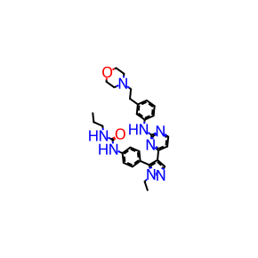 CCCNC(=O)Nc1ccc(-c2c(-c3ccnc(Nc4cccc(CCN5CCOCC5)c4)n3)cnn2CC)cc1